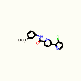 CCOC(=O)c1cccc(NC(=O)c2ccc(-c3ncccc3Cl)cn2)c1